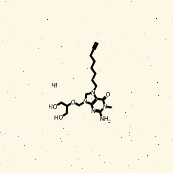 C#CCCCCCCN1CN(COC(CO)CO)c2nc(N)n(C)c(=O)c21.I